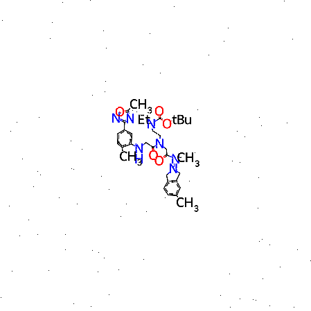 CCN(CCN(CC(=O)N(C)N1Cc2ccc(C)cc2C1)C(=O)CNc1cc(-c2noc(C)n2)ccc1C)C(=O)OC(C)(C)C